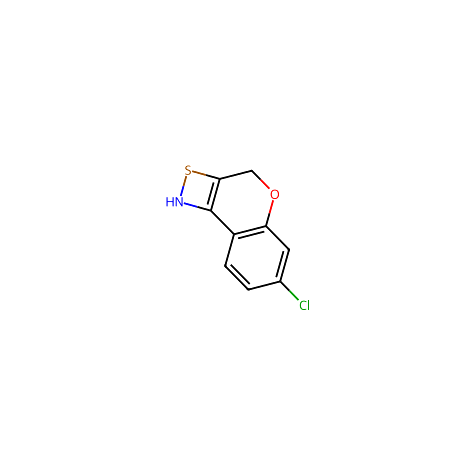 Clc1ccc2c(c1)OCc1s[nH]c1-2